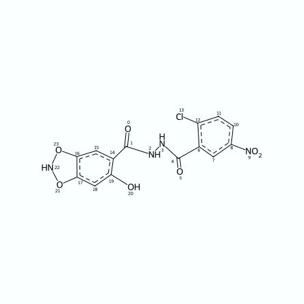 O=C(NNC(=O)c1cc([N+](=O)[O-])ccc1Cl)c1cc2c(cc1O)ONO2